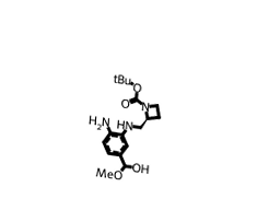 COC(O)c1ccc(N)c(NC[C@@H]2CCN2C(=O)OC(C)(C)C)c1